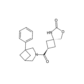 O=C1N[C@]2(CO1)C[C@H](C(=O)N1CC3CC(c4ccccc4)(C3)C1)C2